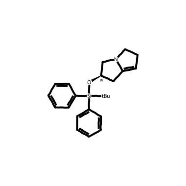 CC(C)(C)[Si](O[C@@H]1CC2=CCCN2C1)(c1ccccc1)c1ccccc1